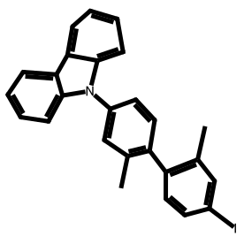 Cc1cc(I)ccc1-c1ccc(-n2c3ccccc3c3ccccc32)cc1C